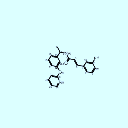 CC(NC(=O)C=Cc1cccc(F)c1)c1cccc(Oc2ccccn2)c1